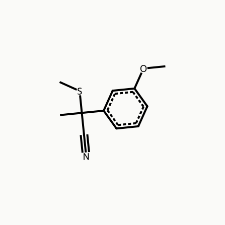 COc1cccc(C(C)(C#N)SC)c1